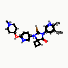 COc1cc(N2C(=O)C3(CCC3)N(c3ccc(OC4CCN(C)CC4)nc3)C2=S)cnc1C#N